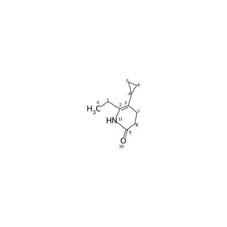 CCC1=C(C2CC2)CCC(=O)N1